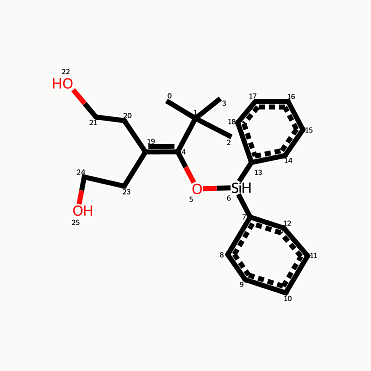 CC(C)(C)C(O[SiH](c1ccccc1)c1ccccc1)=C(CCO)CCO